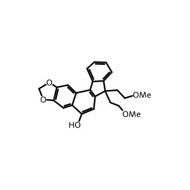 COCCC1(CCOC)c2ccccc2-c2c1cc(O)c1cc3c(cc21)OCO3